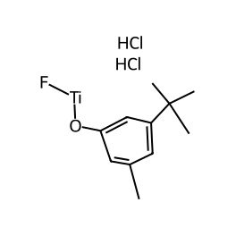 Cc1cc([O][Ti][F])cc(C(C)(C)C)c1.Cl.Cl